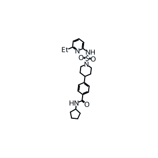 CCc1cccc(NS(=O)(=O)N2CCC(c3ccc(C(=O)NC4CCCC4)cc3)CC2)n1